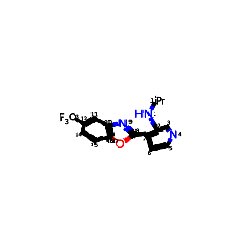 CC(C)Nc1cnccc1-c1nc2cc(C(F)(F)F)ccc2o1